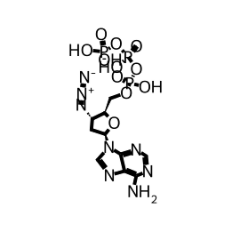 [N-]=[N+]=N[C@H]1C[C@H](n2cnc3c(N)ncnc32)O[C@@H]1COP(=O)(O)OP(=O)(O)OP(=O)(O)O